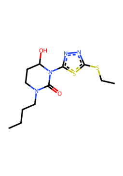 CCCCN1CCC(O)N(c2nnc(SCC)s2)C1=O